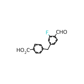 O=Cc1ccc(Cc2ccc(C(=O)O)cc2)cc1F